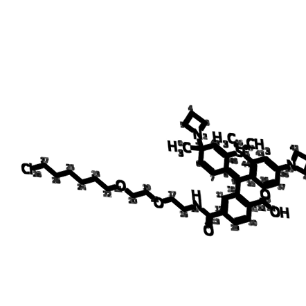 CC1(N2CCC2)C=CC2=C(c3cc(C(=O)NCCOCCOCCCCCCCl)ccc3C(=O)O)c3ccc(N4CCC4)cc3[Si](C)(C)C2=C1